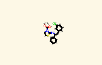 COC(=O)N1CCS/C1=N\C(Cc1cccc(Cl)c1)c1ccccc1